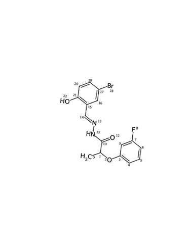 CC(Oc1cccc(F)c1)C(=O)NN=Cc1cc(Br)ccc1O